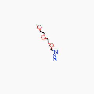 COCCOCCOCN=[N+]=[N-]